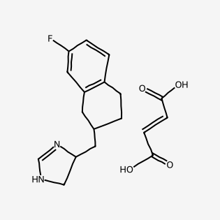 Fc1ccc2c(c1)CC(CC1CNC=N1)CC2.O=C(O)/C=C/C(=O)O